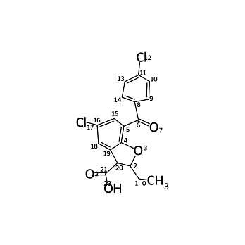 CCC1Oc2c(C(=O)c3ccc(Cl)cc3)cc(Cl)cc2C1C(=O)O